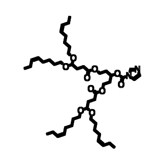 CC/C=C\CCCCOC(CCC(=O)OCCC(CCOC(=O)CCC(OCCCC/C=C\CC)OCCCC/C=C\CC)OC(=O)n1ccnc1)OCCCC/C=C\CC